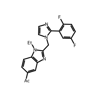 CCn1c(Cn2ccnc2-c2cc(F)ccc2F)nc2cc(C(C)=O)ccc21